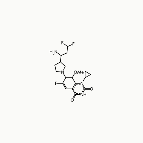 COC1c2c(c(=O)[nH]c(=O)n2C2CC2)C=C(F)C1N1CCC(C(N)CC(F)F)C1